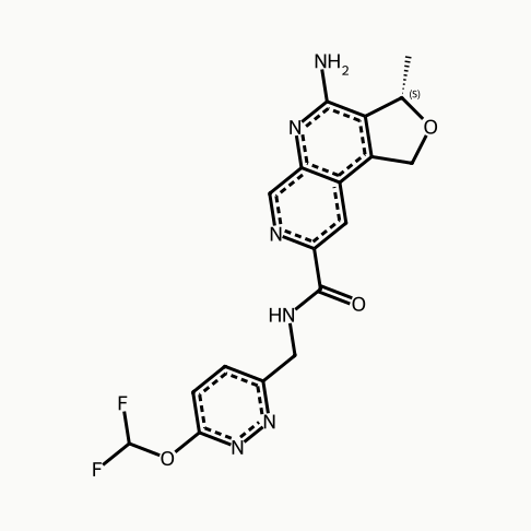 C[C@@H]1OCc2c1c(N)nc1cnc(C(=O)NCc3ccc(OC(F)F)nn3)cc21